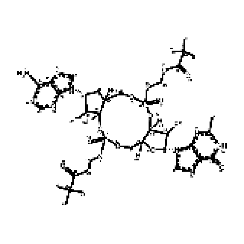 Cc1nc2c(ncn2[C@@H]2O[C@@H]3COP(=O)(SCOC(=O)C(C)(C)C)O[C@@H]4C(F)[C@H](n5cnc6c(N)ncnc65)C[C@@H]4COP(=O)(SCOC(=O)C(C)(C)C)O[C@@H]3C2F)c(=O)[nH]1